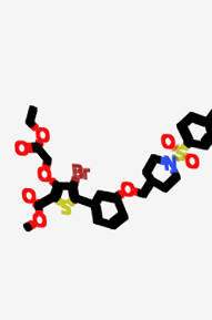 CCOC(=O)COc1c(C(=O)OC)sc(-c2cccc(OCC3CCN(S(=O)(=O)c4ccc(C)cc4)CC3)c2)c1Br